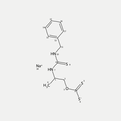 CC(COC(=S)[S-])NC(=S)NCc1ccccc1.[Na+]